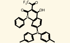 Cc1ccc(N(c2ccc(C)cc2)c2ccc3c(O)c(C(=O)C(F)(F)F)c(=O)n(-c4ccccc4)c3c2)cc1